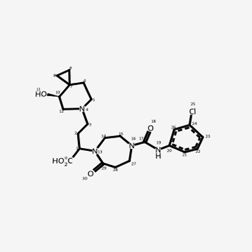 O=C(O)C(CCN1CCC2(CC2)[C@H](O)C1)N1CCN(C(=O)Nc2cccc(Cl)c2)CCC1=O